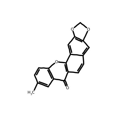 Cc1ccc2oc3c(ccc4cc5c(cc43)OCO5)c(=O)c2c1